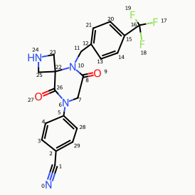 N#Cc1ccc(N2CC(=O)N(Cc3ccc(C(F)(F)F)cc3)C3(CNC3)C2=O)cc1